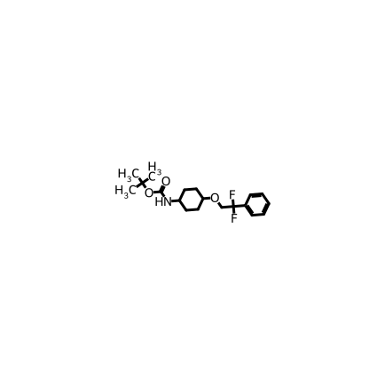 CC(C)(C)OC(=O)NC1CCC(OCC(F)(F)c2ccccc2)CC1